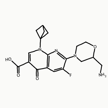 NCC1CN(c2nc3c(cc2F)c(=O)c(C(=O)O)cn3C23CC(C2)C3)CCO1